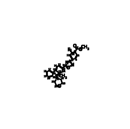 COC(=O)c1ccc(-c2noc(C3=CC=C(c4ccccc4)C(C)(CN4CCOCC4)C3)n2)cc1F